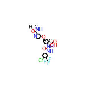 CC(=O)O.CNC(=O)c1cc(Oc2ccc(NC(=O)Nc3ccc(Cl)c(C(F)(F)F)c3)cc2)ccn1